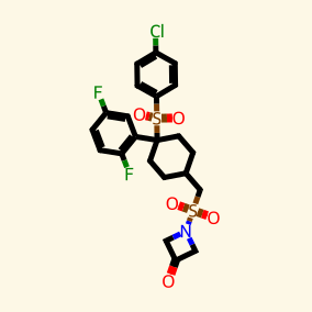 O=C1CN(S(=O)(=O)CC2CCC(c3cc(F)ccc3F)(S(=O)(=O)c3ccc(Cl)cc3)CC2)C1